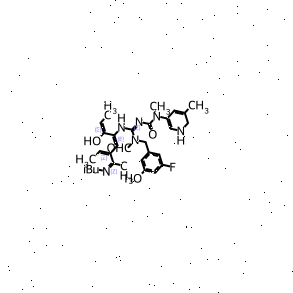 C/C=C(/C=C(N/C(=N/C(=O)N(C)C1=CNCC(C)=C1)N(C=O)Cc1cc(O)cc(F)c1)\C(O)=C/C)C(\C)=N/C(C)CC